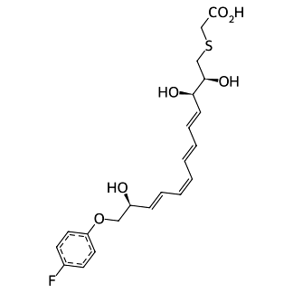 O=C(O)CSC[C@@H](O)[C@H](O)/C=C/C=C/C=C\C=C\[C@H](O)COc1ccc(F)cc1